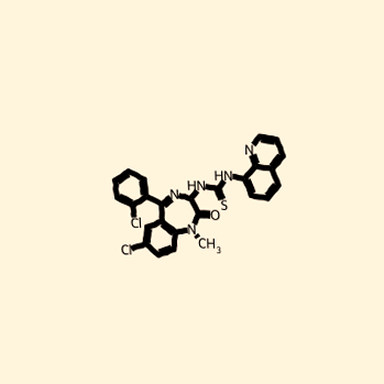 CN1C(=O)C(NC(=S)Nc2cccc3cccnc23)N=C(c2ccccc2Cl)c2cc(Cl)ccc21